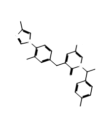 Cc1ccc(C(C)n2cc(C(F)(F)F)cc(Cc3ccc(-n4cnc(C)c4)c(C)c3)c2=O)cc1